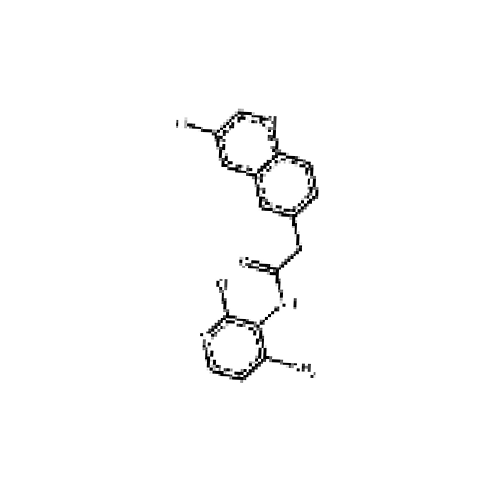 Nc1ccnc(Cl)c1NC(=O)Cc1ccc2ncc(Cl)cc2c1